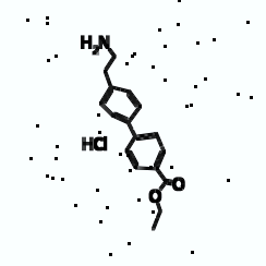 CCOC(=O)c1ccc(-c2ccc(CCN)cc2)cc1.Cl